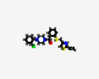 Cc1nc(CSc2ccccc2C(=O)N2CCN(c3ccccc3Cl)CC2)cs1